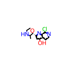 CC1NCCO[C@@H]1c1cc(O)c2ccnc(Cl)c2n1